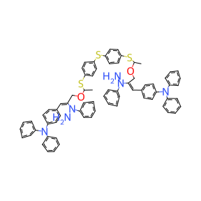 CC(OCC(=Cc1ccc(N(c2ccccc2)c2ccccc2)cc1)N(N)c1ccccc1)Sc1ccc(Sc2ccc(SC(C)OCC(=Cc3ccc(N(c4ccccc4)c4ccccc4)cc3)N(N)c3ccccc3)cc2)cc1